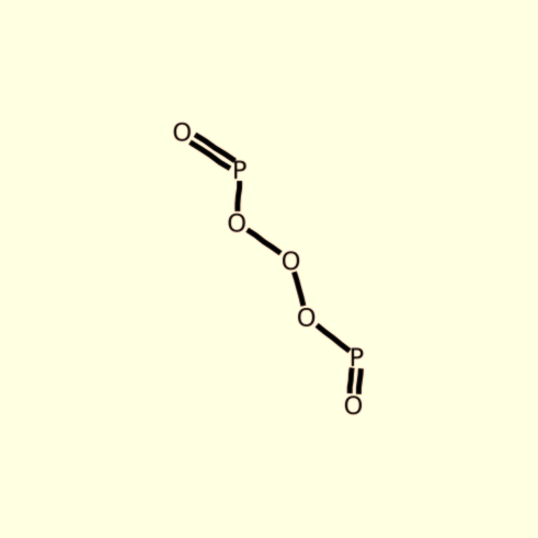 O=POOOP=O